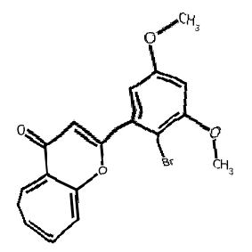 COc1cc(OC)c(Br)c(-c2cc(=O)c3ccccc3o2)c1